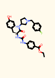 CCOC(=O)c1ccc(NC(=O)N[C@@H](Cc2ccc(O)cc2)C(=O)NC2CCN(Cc3ccc(F)cc3)C2)cc1